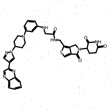 O=C(CNc1cccc(N2CCC(n3cc(-c4cnc5ccccc5n4)cn3)CC2)c1)NCc1scc2c1CN(C1CCC(=O)NC1=O)C2=O